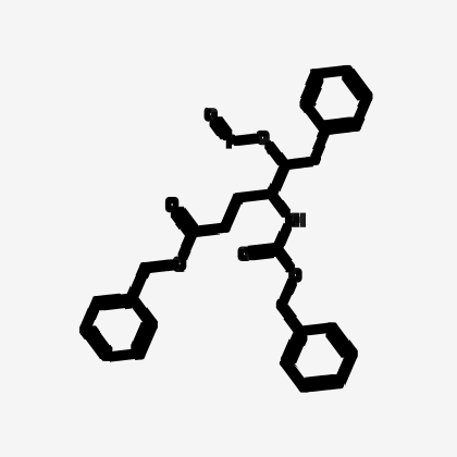 O=POC(Cc1ccccc1)C(CCC(=O)OCc1ccccc1)NC(=O)OCc1ccccc1